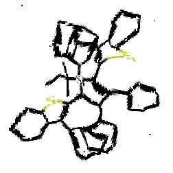 CC(C)(C)[Si]1(c2ccccc2)C(c2sc3ccccc3c2-c2ccccc2)=C(c2ccccc2)C(c2ccccc2)=C1c1sc2ccccc2c1-c1ccccc1